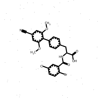 COc1cc(C#N)cc(OC)c1-c1ccc(CC(NC(=O)c2cc(Cl)ccc2Br)C(=O)O)cc1